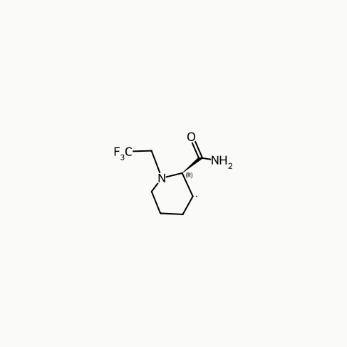 NC(=O)[C@H]1[CH]CCCN1CC(F)(F)F